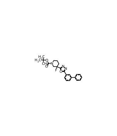 CC(C)(C)OC(=O)N1CCCC(F)(c2nnc(-c3cccc(-c4ccccc4)c3)o2)C1